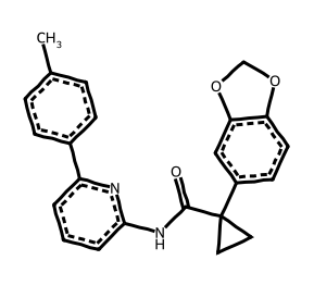 Cc1ccc(-c2cccc(NC(=O)C3(c4ccc5c(c4)OCO5)CC3)n2)cc1